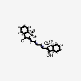 O=C1/C(=C/C=C/C=C/C2=C(O)c3ccccc3S2(=O)=O)S(=O)(=O)c2ccccc21